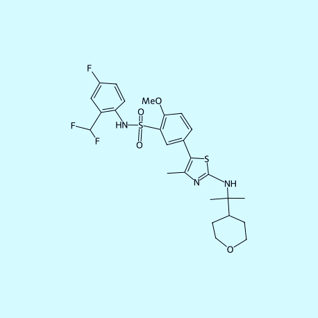 COc1ccc(-c2sc(NC(C)(C)C3CCOCC3)nc2C)cc1S(=O)(=O)Nc1ccc(F)cc1C(F)F